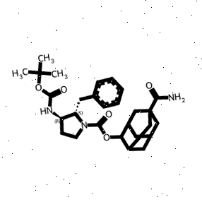 CC(C)(C)OC(=O)N[C@@H]1CCN(C(=O)OC2C3CC4CC2CC(C(N)=O)(C4)C3)[C@H]1Cc1ccccc1